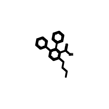 CCCCc1ccc(-c2ccccc2)c(-c2ccccc2)c1C(=O)O